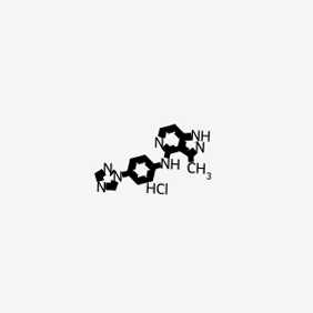 Cc1n[nH]c2ccnc(Nc3ccc(-n4cncn4)cc3)c12.Cl